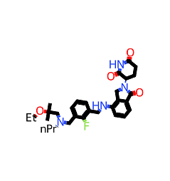 CCCN(Cc1cccc(CNc2cccc3c2CN([C@H]2CCC(=O)NC2=O)C3=O)c1F)CC(C)(C)OCC